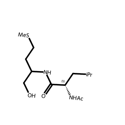 CSCCC(CO)NC(=O)[C@H](CC(C)C)NC(C)=O